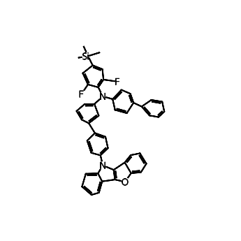 C[Si](C)(C)c1cc(F)c(N(c2ccc(-c3ccccc3)cc2)c2cccc(-c3ccc(-n4c5ccccc5c5oc6ccccc6c54)cc3)c2)c(F)c1